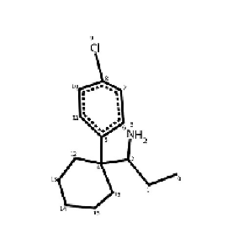 CCC(N)C1(c2ccc(Cl)cc2)CCCCC1